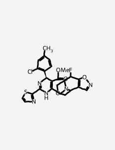 COC(=O)C1=C(CN2C3COCC2C(F)c2oncc23)NC(c2nccs2)=N[C@H]1c1ccc(C)cc1Cl